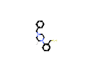 C[C@@H]1CN(Cc2ccccc2)CCN1c1ccccc1CS